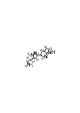 CN1CCC2(CCn3nc(-c4cnc5[nH]ccc5c4)cc32)C1